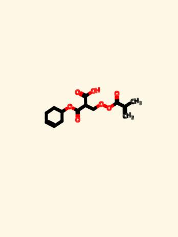 C=C(C)C(=O)OOCC(C(=O)O)C(=O)OC1CC=CCC1